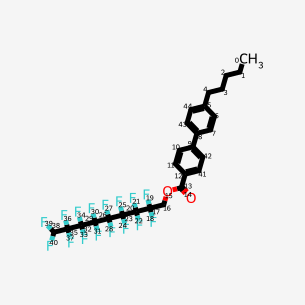 CCCCCc1ccc(-c2ccc(C(=O)OCC(F)(F)C(F)(F)C(F)(F)C(F)(F)C(F)(F)C(F)(F)C(F)(F)C(F)F)cc2)cc1